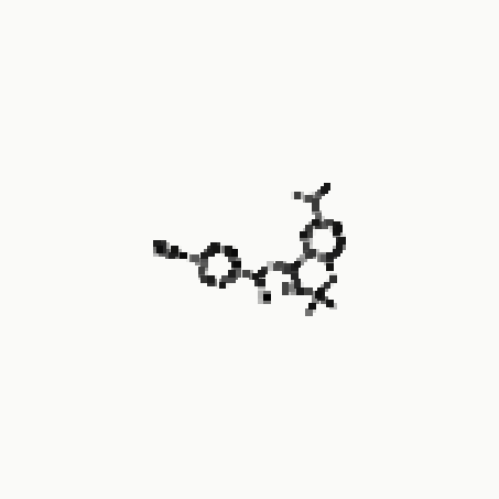 CN(C)c1ccc2c(c1)/C(=C/C(=O)c1ccc(C#N)cc1)NC(C)(C)C2